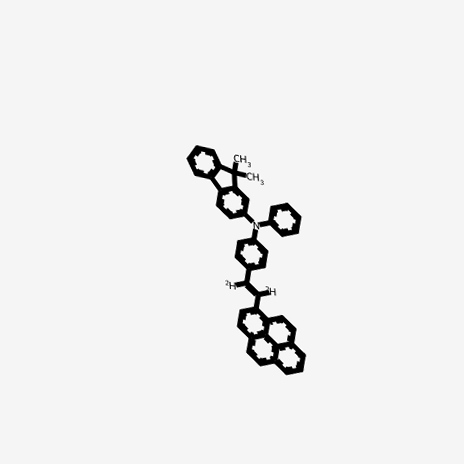 [2H]/C(=C(/[2H])c1ccc2ccc3cccc4ccc1c2c34)c1ccc(N(c2ccccc2)c2ccc3c(c2)C(C)(C)c2ccccc2-3)cc1